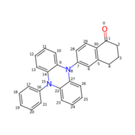 O=C1CCCc2cc(N3c4ccccc4N(c4ccccc4)c4ccccc43)ccc21